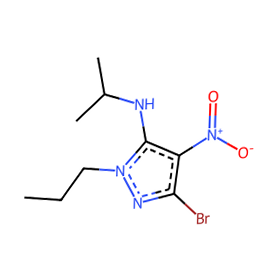 CCCn1nc(Br)c([N+](=O)[O-])c1NC(C)C